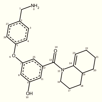 NCc1ccc(Oc2cc(O)cc(C(=O)N3CCCC4CCCC=C43)c2)cc1